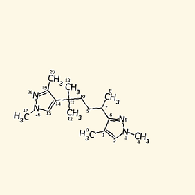 Cc1cn(C)nc1C(C)CCC(C)(C)c1cn(C)nc1C